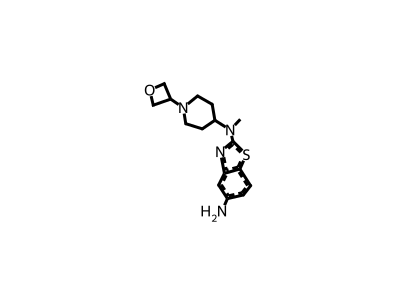 CN(c1nc2cc(N)ccc2s1)C1CCN(C2COC2)CC1